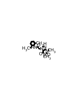 CCc1cccc(C)c1NC(=O)CN1CNc2c1c(=O)n(C)c(=O)n2C